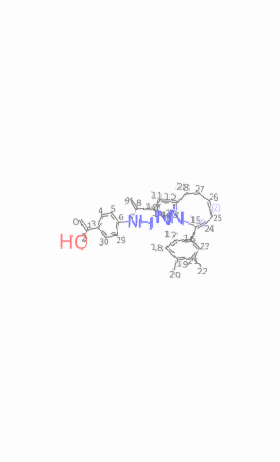 C=C(O)c1ccc(NC(=C)c2cc3n(n2)/C(c2ccc(C)c(C)c2)=C\C=C/CC3)cc1